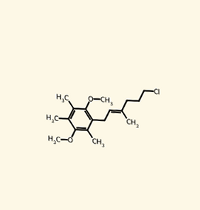 COc1c(C)c(C)c(OC)c(C/C=C(\C)CCCCl)c1C